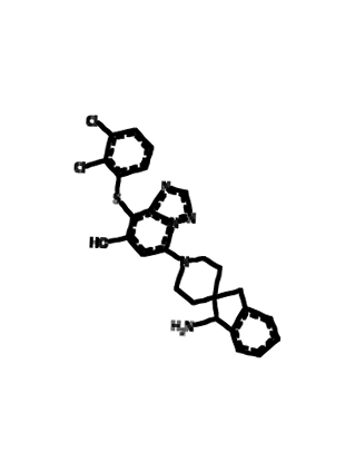 NC1c2ccccc2CC12CCN(c1cc(O)c(Sc3cccc(Cl)c3Cl)c3ncnn13)CC2